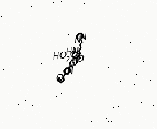 O=C(O)NC(CCCc1ncccn1)CS(=O)(=O)N1CCN(c2ccc(-c3ccco3)cn2)CC1